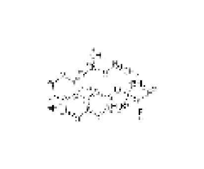 BC(B)(Oc1ccc2c(c1)[C@]1(CCN(C)CC=C)CCCC[C@@H]1C=C2)C(F)F